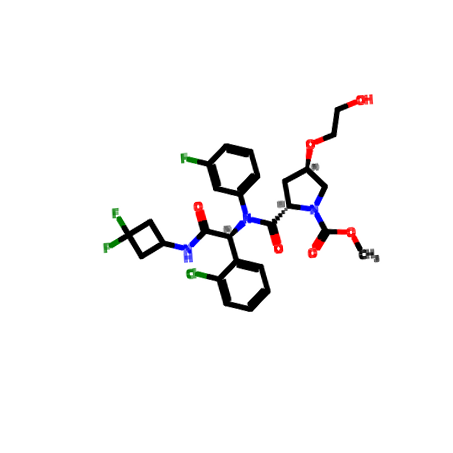 COC(=O)N1C[C@H](OCCO)C[C@H]1C(=O)N(c1cccc(F)c1)[C@H](C(=O)NC1CC(F)(F)C1)c1ccccc1Cl